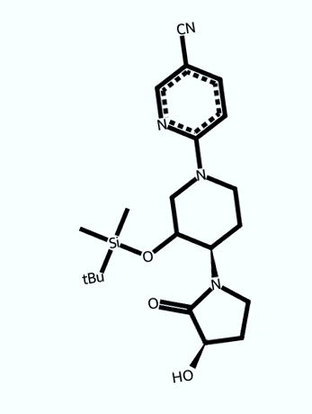 CC(C)(C)[Si](C)(C)OC1CN(c2ccc(C#N)cn2)CC[C@H]1N1CC[C@@H](O)C1=O